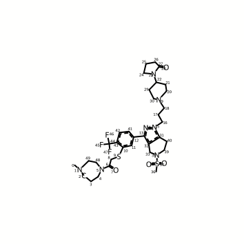 CN1CCCN(C(=O)CSc2cc(-c3nn(CCCN4CCC(N5CCCC5=O)CC4)c4c3CN(S(C)(=O)=O)CC4)ccc2C(F)(F)F)CC1